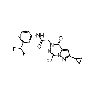 CC(C)c1nn(CC(=O)Nc2ccnc(C(F)F)c2)c(=O)c2cc(C3CC3)nn12